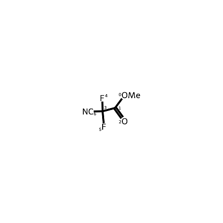 COC(=O)C(F)(F)C#N